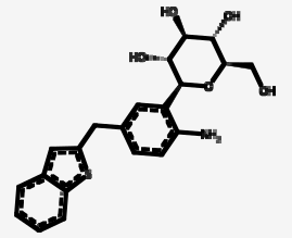 Nc1ccc(Cc2cc3ccccc3s2)cc1[C@@H]1O[C@H](CO)[C@@H](O)[C@H](O)[C@H]1O